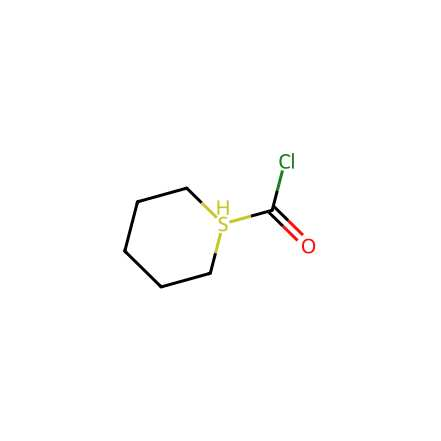 O=C(Cl)[SH]1CCCCC1